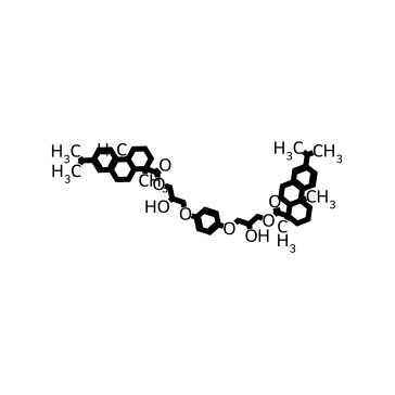 CC(C)c1ccc2c(c1)CCC1C(C)(C(=O)OCC(O)COc3ccc(OCC(O)COC(=O)C4(C)CCCC5(C)c6ccc(C(C)C)cc6CCC45)cc3)CCCC21C